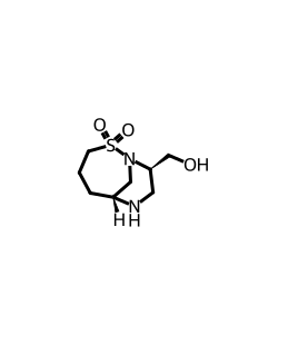 O=S1(=O)CCC[C@@H]2CN1[C@@H](CO)CN2